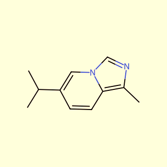 Cc1ncn2cc(C(C)C)ccc12